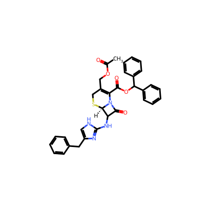 CC(=O)OCC1=C(C(=O)OC(c2ccccc2)c2ccccc2)N2C(=O)C(Nc3nc(Cc4ccccc4)c[nH]3)[C@H]2SC1